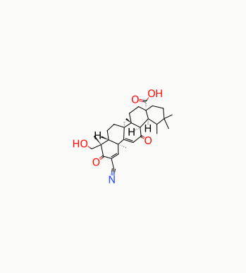 CC1[C@H]2[C@H]3C(=O)C=C4[C@@]5(C)C=C(C#N)C(=O)[C@](C)(CO)[C@@H]5CC[C@@]4(C)[C@]3(C)CC[C@@]2(C(=O)O)CCC1(C)C